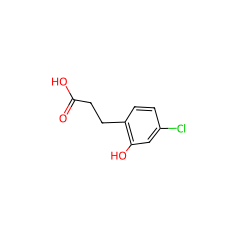 O=C(O)CCc1ccc(Cl)cc1O